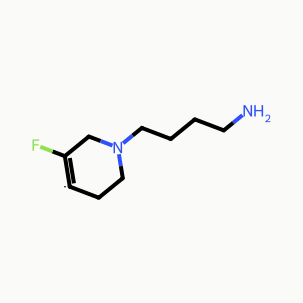 NCCCCN1CC[C]=C(F)C1